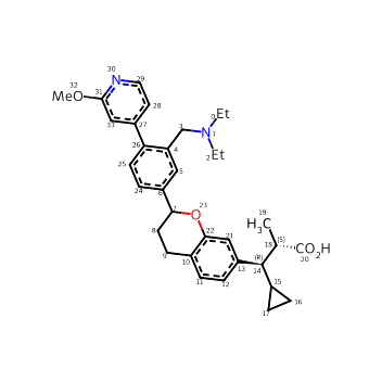 CCN(CC)Cc1cc(C2CCc3ccc([C@H](C4CC4)[C@H](C)C(=O)O)cc3O2)ccc1-c1ccnc(OC)c1